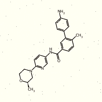 Cc1ccc(C(=O)Nc2ccc(N3CCO[C@H](C)C3)nc2)cc1-c1ccc(N)cc1